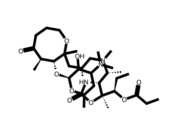 CCC(=O)O[C@H](CC)[C@@]1(C)OC(=O)N[C@@H]1[C@@H](C)N(C)C[C@H](C)CC1(C)OCCCC(=O)[C@H](C)[C@H]1O[C@@H]1OC(C)CC(N(C)C)C1O